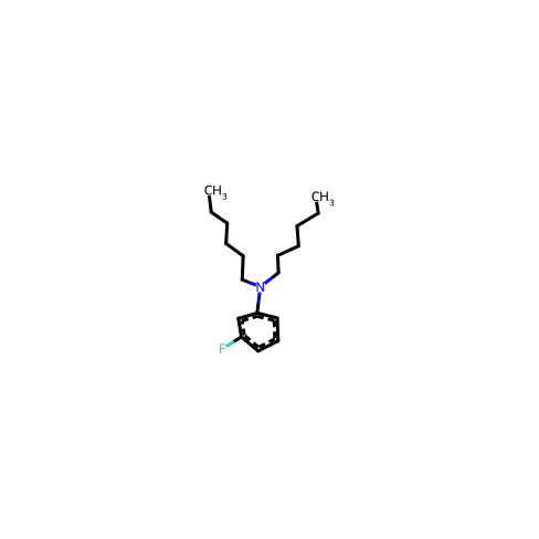 CCCCCCN(CCCCCC)c1cccc(F)c1